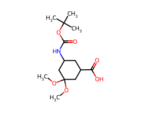 COC1(OC)CC(NC(=O)OC(C)(C)C)CC(C(=O)O)C1